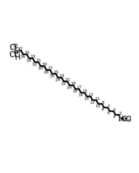 O=C=NCCCCCCCCCCCCCCCCCCCCCCCCCCCCCCCCCCC[SiH](Cl)Cl